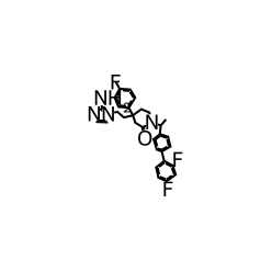 CC(c1ccc(-c2ccc(F)cc2F)cc1)N1CCC(CCn2ccnc2N)(c2ccc(F)cc2)CC1=O